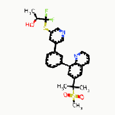 CC(O)C(F)(F)Sc1cncc(-c2cccc(-c3cc(C(C)(C)S(C)(=O)=O)cc4cccnc34)c2)c1